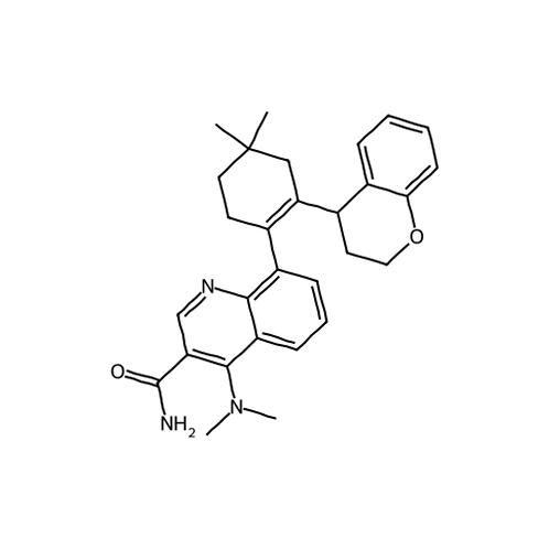 CN(C)c1c(C(N)=O)cnc2c(C3=C(C4CCOc5ccccc54)CC(C)(C)CC3)cccc12